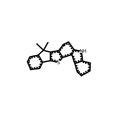 CC1(C)c2ccccc2-c2sc3c(ccc4[nH]c5ccccc5c43)c21